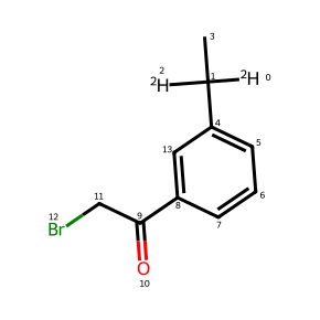 [2H]C([2H])(C)c1cccc(C(=O)CBr)c1